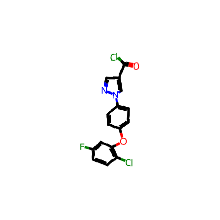 O=C(Cl)c1cnn(-c2ccc(Oc3cc(F)ccc3Cl)cc2)c1